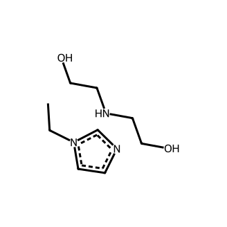 CCn1ccnc1.OCCNCCO